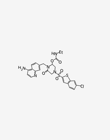 CCNC(=O)OC1CN(S(=O)(=O)c2cc3ccc(Cl)cc3s2)CC(=O)N1Cc1ccc2c(N)ccnc2c1